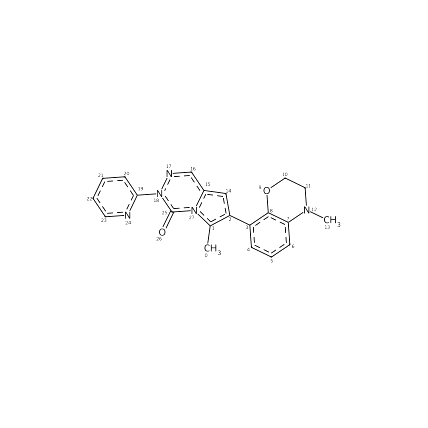 Cc1c(-c2cccc3c2OCCN3C)cc2cnn(-c3ccccn3)c(=O)n12